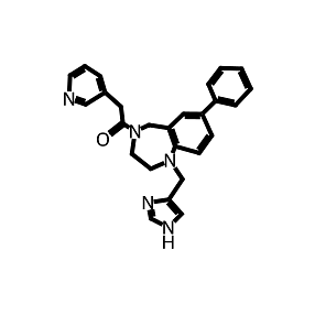 O=C(Cc1cccnc1)N1CCN(Cc2c[nH]cn2)c2ccc(-c3ccccc3)cc2C1